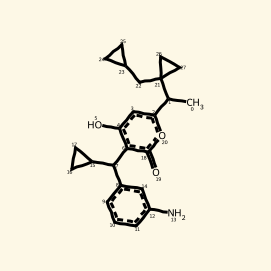 CC(c1cc(O)c(C(c2cccc(N)c2)C2CC2)c(=O)o1)C1(CC2CC2)CC1